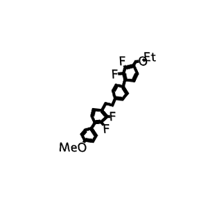 CCOCc1ccc(-c2ccc(CCc3ccc(-c4ccc(OC)cc4)c(F)c3F)cc2)c(F)c1F